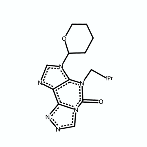 CC(C)Cn1c(=O)n2cnnc2c2ncn(C3CCCCO3)c21